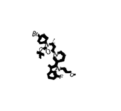 COCCCn1c(C2CCCN(CC[C@@H](C)N(C(=O)OC(C)(C)C)c3ccc(Br)cc3)C2)c(C)c2cccc(F)c21